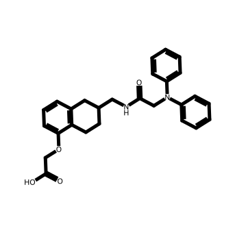 O=C(O)COc1cccc2c1CCC(CNC(=O)CN(c1ccccc1)c1ccccc1)C2